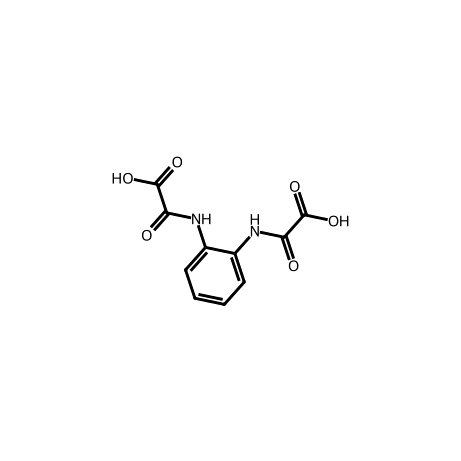 O=C(O)C(=O)Nc1ccccc1NC(=O)C(=O)O